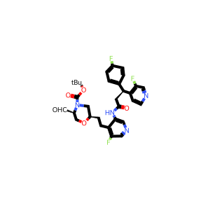 CC(C)(C)OC(=O)N1C[C@@H](CCc2c(F)cncc2NC(=O)C[C@@H](c2ccc(F)cc2)c2ccncc2F)OC[C@H]1C=O